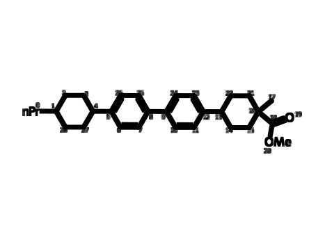 CCCC1CCC(c2ccc(-c3ccc(C4CCC(C)(C(=O)OC)CC4)cc3)cc2)CC1